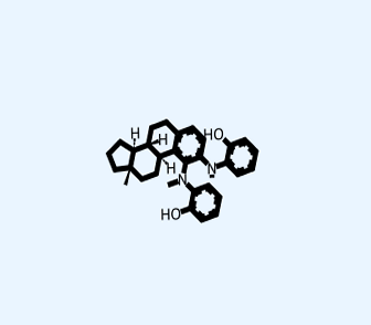 CN(c1ccccc1O)c1ccc2c(c1N(C)c1ccccc1O)[C@H]1CC[C@]3(C)CCC[C@H]3[C@@H]1CC2